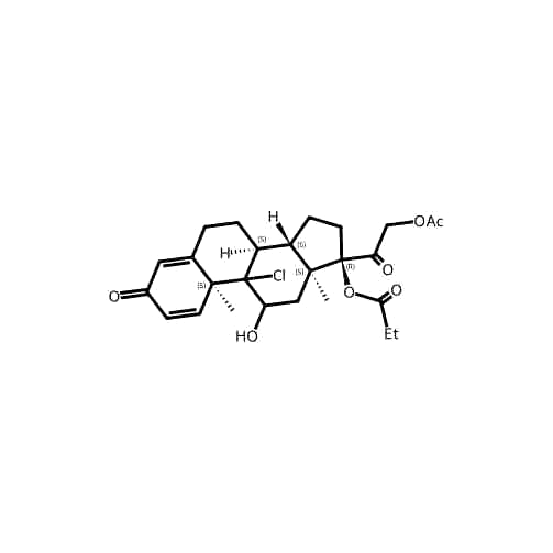 CCC(=O)O[C@]1(C(=O)COC(C)=O)CC[C@H]2[C@@H]3CCC4=CC(=O)C=C[C@]4(C)C3(Cl)C(O)C[C@@]21C